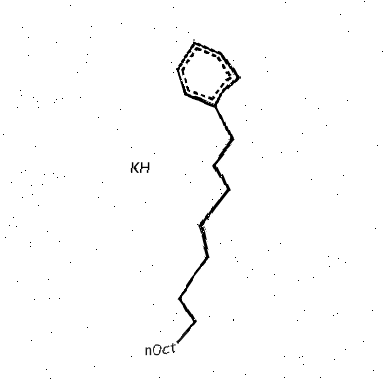 CCCCCCCCCCCCCCCc1cc[c]cc1.[KH]